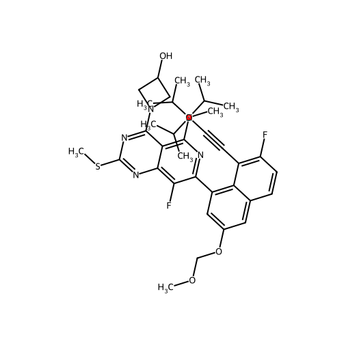 COCOc1cc(-c2nc(OC)c3c(N4CC(O)C4)nc(SC)nc3c2F)c2c(C#C[Si](C(C)C)(C(C)C)C(C)C)c(F)ccc2c1